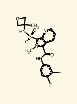 Cn1c(C(=O)Nc2ccc(F)c(F)c2)c2cccnc2c1S(=O)(=O)NC1(C)COC1